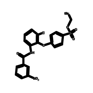 CC(C)(C)COS(=O)(=O)c1ccc(Oc2c(Cl)cccc2NC(=O)c2cccc([N+](=O)[O-])c2)cc1